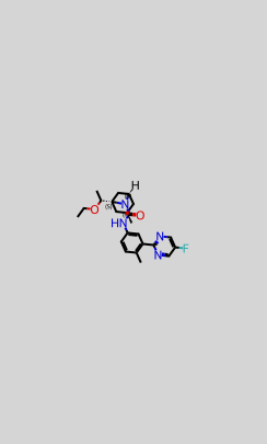 CCOC(C)[C@]12C[C@H](C)C[C@H](C1)N2C(=O)Nc1ccc(C)c(-c2ncc(F)cn2)c1